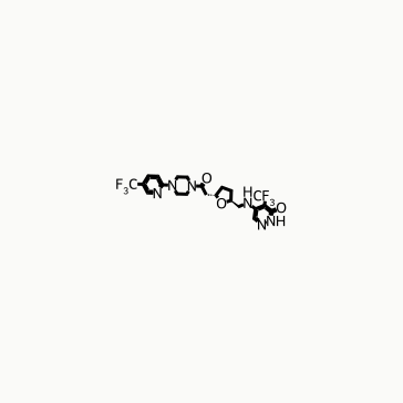 O=C(C[C@@H]1CC[C@@H](CNc2cn[nH]c(=O)c2C(F)(F)F)O1)N1CCN(c2ccc(C(F)(F)F)cn2)CC1